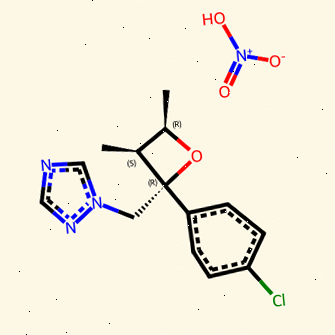 C[C@H]1O[C@@](Cn2cncn2)(c2ccc(Cl)cc2)[C@H]1C.O=[N+]([O-])O